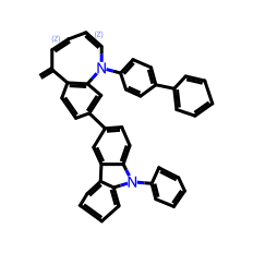 C=C1/C=C\C=C/N(c2ccc(-c3ccccc3)cc2)c2cc(-c3ccc4c(c3)c3ccccc3n4-c3ccccc3)ccc21